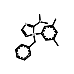 Cc1cc(C)cc([N+]2(Cc3ccccc3)C=CN=C2N(C)C)c1